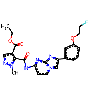 CCOC(=O)c1cnn(C)c1C(=O)Nc1ccn2cc(-c3cccc(OCCF)c3)nc2n1